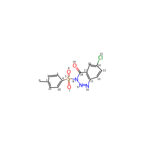 Cc1ccc(S(=O)(=O)n2nnc3ccc(Cl)cc3c2=O)cc1